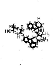 CC(C)C(C(=O)NC1(Cc2ccccn2)CCNCC1)N(CC1c2ccccc2-c2ccccc21)C(=O)O.O=C(O)C(F)(F)F.O=C(O)C(F)(F)F